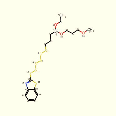 CCO[SiH](CCCSSSSSSc1nc2ccccc2s1)OCCCOC